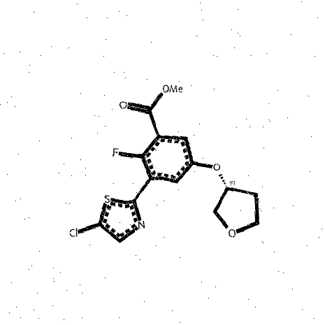 COC(=O)c1cc(O[C@@H]2CCOC2)cc(-c2ncc(Cl)s2)c1F